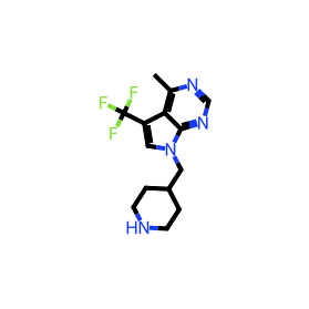 Cc1ncnc2c1c(C(F)(F)F)cn2CC1CCNCC1